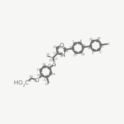 Cc1ccc(-c2ccc(-c3nc([C@H](C)Sc4ccc(OCC(=O)O)c(C)c4)co3)cc2)cc1